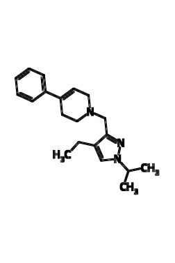 CCc1cn(C(C)C)nc1CN1CC=C(c2ccccc2)CC1